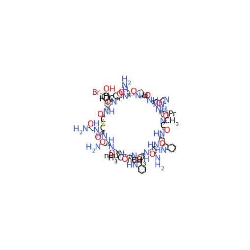 CCCC[C@H]1C(=O)N(C)[C@@H](CCCC)C(=O)N[C@@H](CCN)C(=O)N[C@H](C(=O)NCC(N)=O)CSCC(=O)N[C@@H](Cc2ccc(O)c(Br)c2)C(=O)N(C)[C@@H](C)C(=O)N[C@@H](CC(N)=O)C(=O)N2CCC[C@H]2C(=O)N[C@@H](Cc2cnc[nH]2)C(=O)N[C@@H](CC(C)C)C(=O)N(C)CC(=O)N[C@@H](Cc2c[nH]c3ccccc23)C(=O)N[C@@H](CCN)C(=O)N[C@@H](Cc2c[nH]c3ccccc23)C(=O)N1C